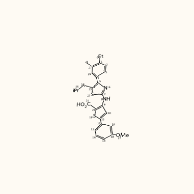 CCc1ccc(-c2nc(Nc3cc(-c4cccc(OC)c4)sc3C(=O)O)sc2CC(C)C)cc1C